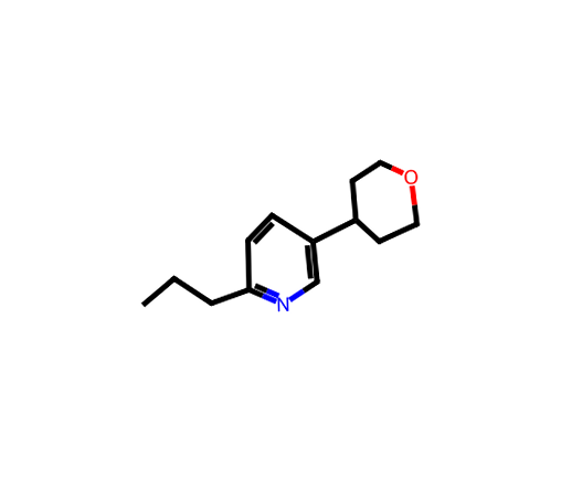 CCCc1ccc(C2CCOCC2)cn1